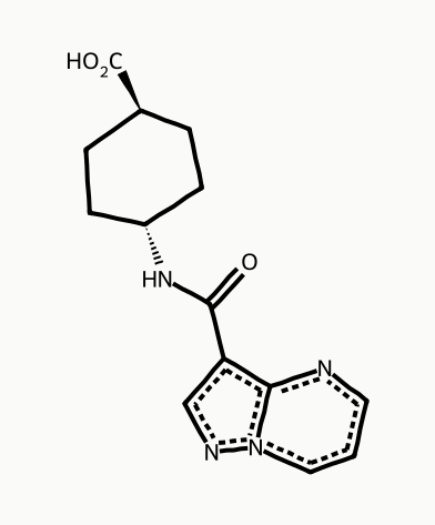 O=C(N[C@H]1CC[C@H](C(=O)O)CC1)c1cnn2cccnc12